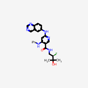 CC(C)Nc1cc(Nc2ccc3ncncc3c2)ncc1C(=O)NC[C@@H](F)C(C)(C)O